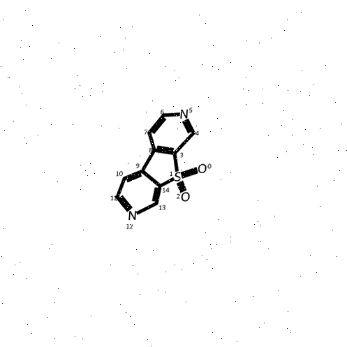 O=S1(=O)c2cnccc2-c2ccncc21